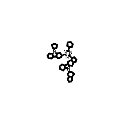 c1ccc(-c2nc(-c3ccc4c5ccccc5n(-c5ccccc5)c4c3)nc(-c3cccc4cc5c(cc34)c3ccccc3n5-c3ccc4ccccc4c3)n2)cc1